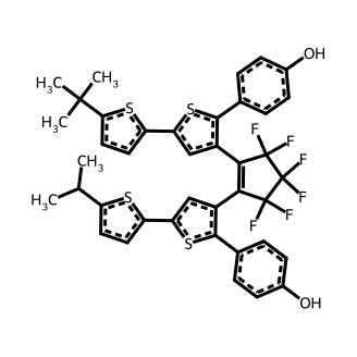 CC(C)c1ccc(-c2cc(C3=C(c4cc(-c5ccc(C(C)(C)C)s5)sc4-c4ccc(O)cc4)C(F)(F)C(F)(F)C3(F)F)c(-c3ccc(O)cc3)s2)s1